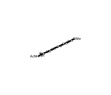 COCCOCCOCCOCCOCCOCCOCCOCCOCCOCCOCCOCCC(=O)NCCNC(C)=O